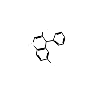 CCOC(=O)C1=CNc2ccc(Cl)cc2C1c1ccccc1